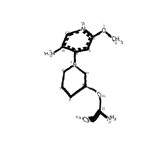 COc1cc(N2CCC[C@H](OC(N)=O)C2)c(N)cn1